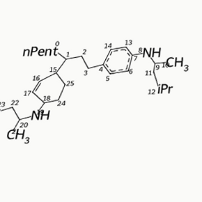 CCC[CH]CC(CCc1ccc(NC(C)CC(C)C)cc1)C1C=CC(NC(C)CC(C)C)CC1